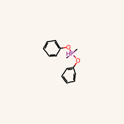 C[PH](C)(Oc1ccccc1)Oc1ccccc1